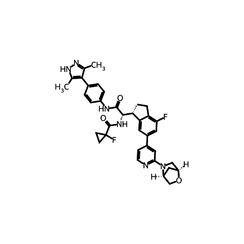 Cc1n[nH]c(C)c1-c1ccc(NC(=O)[C@@H](NC(=O)C2(F)CC2)[C@@H]2CCc3c(F)cc(-c4ccnc(N5C[C@@H]6C[C@H]5CO6)c4)cc32)cc1